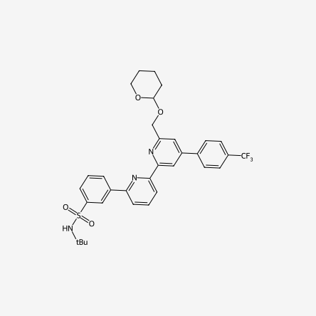 CC(C)(C)NS(=O)(=O)c1cccc(-c2cccc(-c3cc(-c4ccc(C(F)(F)F)cc4)cc(COC4CCCCO4)n3)n2)c1